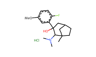 COc1ccc(F)c(C2(O)CC3CCC(C)(C3)C2N(C)C)c1.Cl